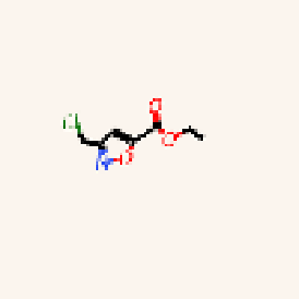 CCOC(=O)c1cc(CCl)no1